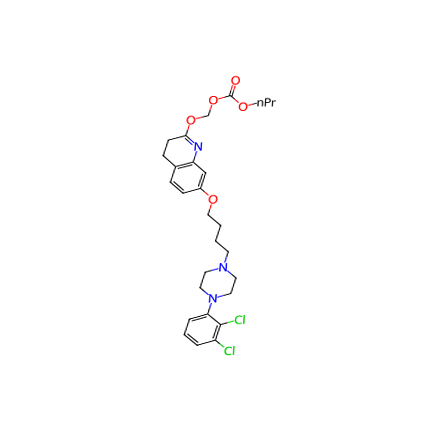 CCCOC(=O)OCOC1=Nc2cc(OCCCCN3CCN(c4cccc(Cl)c4Cl)CC3)ccc2CC1